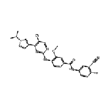 COc1cc(C(=O)Nc2ccc(F)c(C#N)c2)ccc1Nc1ncc(Cl)c(-c2cnn(C(C)C)c2)n1